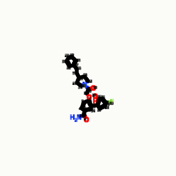 NC(=O)c1ccc(OCC(=O)N2CCC(CCc3ccccc3)CC2)c(-c2ccc(F)cc2O)c1